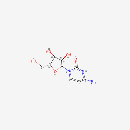 Nc1ccn(C2O[C@H](CO)C(O)[C@H]2O)c(=O)n1